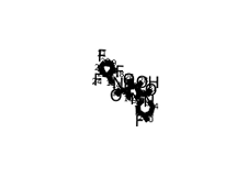 CC1(F)CCN2CC(C1)n1cc(C(=O)NCc3c(F)cc(F)cc3F)c(=O)c(O)c1C2=O